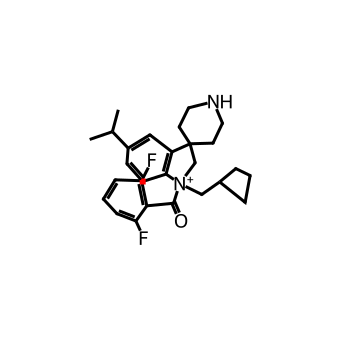 CC(C)c1ccc2c(c1)C1(CCNCC1)C[N+]2(CC1CCC1)C(=O)c1c(F)cccc1F